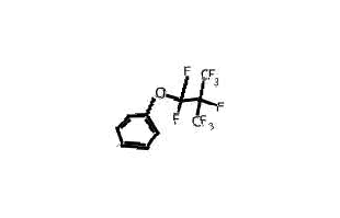 FC(F)(F)C(F)(C(F)(F)F)C(F)(F)Oc1cc[c]cc1